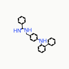 N=C(NCc1ccc(Nc2ccccc2-c2ccccc2)cc1)c1ccccc1